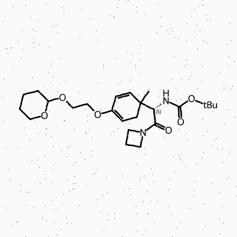 CC(C)(C)OC(=O)N[C@H](C(=O)N1CCC1)C1(C)C=CC(OCCOC2CCCCO2)=CC1